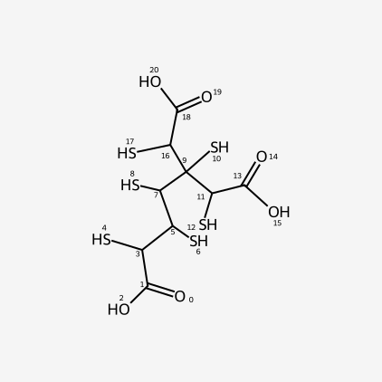 O=C(O)C(S)C(S)C(S)C(S)(C(S)C(=O)O)C(S)C(=O)O